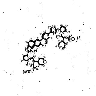 COC(=O)NC(C(=O)N1[C@@H](C)CC[C@H]1c1nc2ccc3cc4c(cc3c2[nH]1)OCc1cc(-c2cnc([C@@H]3CC[C@H](C)N3C(=O)[C@@H](NC(=O)O)C3CCOCC3)[nH]2)ccc1-4)C1CCOCC1